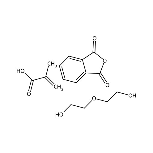 C=C(C)C(=O)O.O=C1OC(=O)c2ccccc21.OCCOCCO